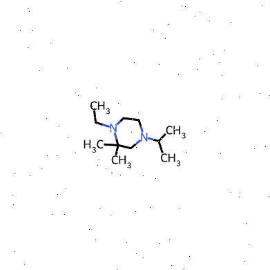 CCN1CCN(C(C)C)CC1(C)C